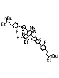 CCCCC(CC)CCc1ccc(-c2ccc(-c3c4nsnc4c(-c4cc5sc(-c6ccc(CCC(CC)CCCC)cc6F)cc5s4)c4nc(CC)c(CC)nc34)s2)c(F)c1